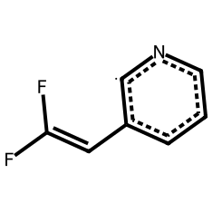 FC(F)=Cc1[c]nccc1